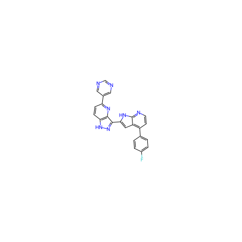 Fc1ccc(-c2ccnc3[nH]c(-c4n[nH]c5ccc(-c6cncnc6)nc45)cc23)cc1